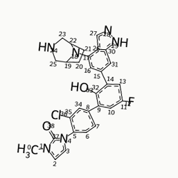 Cn1ccn(-c2ccc(-c3cc(F)cc(-c4cc(N5C6CCC5CNC6)c5cn[nH]c5c4)c3O)cc2Cl)c1=O